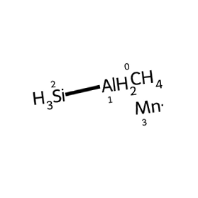 C.[AlH2][SiH3].[Mn]